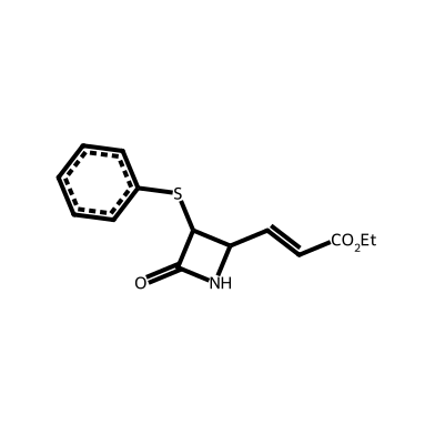 CCOC(=O)C=CC1NC(=O)C1Sc1ccccc1